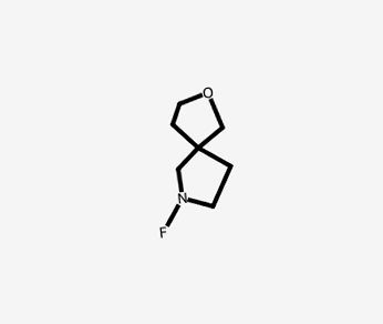 FN1CCC2(CCOC2)C1